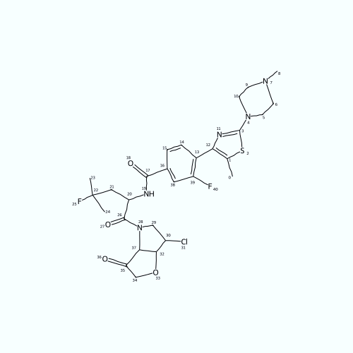 Cc1sc(N2CCN(C)CC2)nc1-c1ccc(C(=O)NC(CC(C)(C)F)C(=O)N2CC(Cl)C3OCC(=O)C32)cc1F